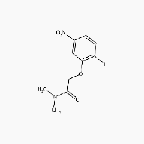 CN(C)C(=O)COc1cc([N+](=O)[O-])ccc1F